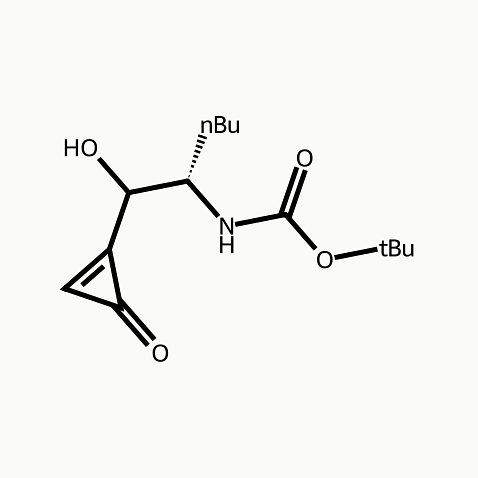 CCCC[C@H](NC(=O)OC(C)(C)C)C(O)c1cc1=O